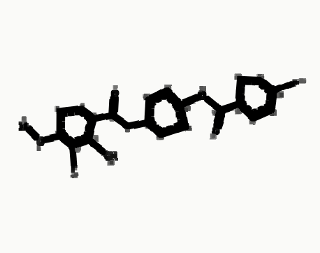 CCOc1ccc(C(=O)Cc2ccc(OC(=O)c3ccc(F)cc3)cc2)c(O)c1F